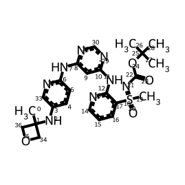 CC1(Nc2ccc(Nc3cc(Nc4ncccc4S(C)(=O)=NC(=O)OC(C)(C)C)ncn3)nc2)COC1